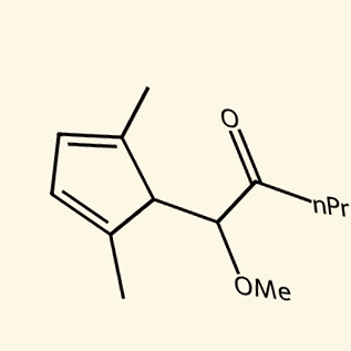 CCCC(=O)C(OC)C1C(C)=CC=C1C